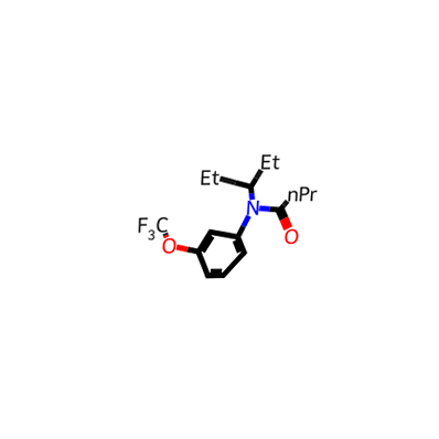 CCCC(=O)N(c1cccc(OC(F)(F)F)c1)C(CC)CC